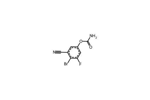 N#Cc1cc(OC(N)=O)cc(F)c1Br